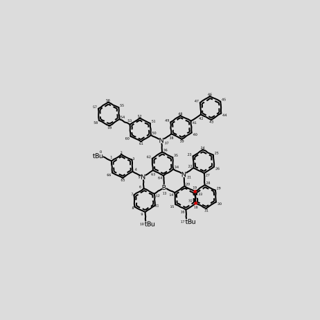 CC(C)(C)c1ccc(N2c3ccc(C(C)(C)C)cc3B3c4cc(C(C)(C)C)ccc4N(c4ccccc4-c4ccccc4)c4cc(N(c5ccc(-c6ccccc6)cc5)c5ccc(-c6ccccc6)cc5)cc2c43)cc1